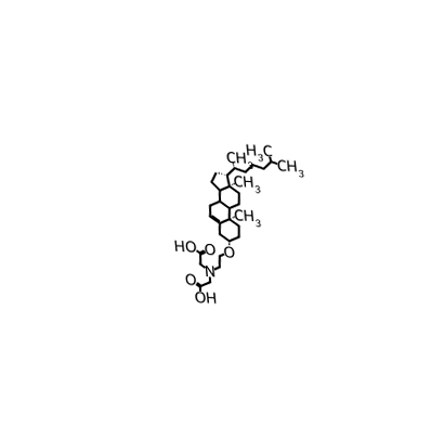 CC(C)CCC[C@@H](C)[C@H]1CCC2C3CC=C4C[C@@H](OCCN(CC(=O)O)CC(=O)O)CC[C@]4(C)C3CC[C@@]21C